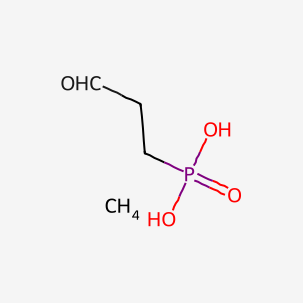 C.O=CCCP(=O)(O)O